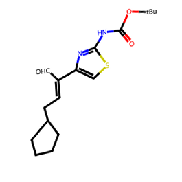 CC(C)(C)OC(=O)Nc1nc(/C(C=O)=C/CC2CCCC2)cs1